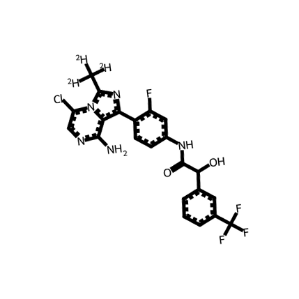 [2H]C([2H])([2H])c1nc(-c2ccc(NC(=O)C(O)c3cccc(C(F)(F)F)c3)cc2F)c2c(N)ncc(Cl)n12